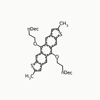 CCCCCCCCCCCCOc1c2cc3cc(C)sc3cc2c(OCCCCCCCCCCCC)c2cc3cc(C)sc3cc12